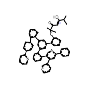 CC(C)/C(O)=C/C(=O)C(C)(C)Cc1ccccc1-c1cc(-c2ccccc2-c2ccc(-c3ccccn3)cc2)cc(-c2ccccc2-c2cnc(-c3ccccc3)cc2-c2ccccc2)c1